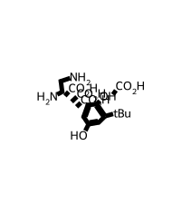 CC(=O)O.CC(=O)O.CC(=O)O.CC(=O)O.CC(C)(C)c1cc(O)ccc1O.NCCN